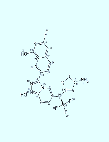 Cl.N[C@H]1CCN([C@H](c2ccc3nnc(-c4ccc5cc(F)cc(O)c5n4)n3c2)C(F)(F)F)C1